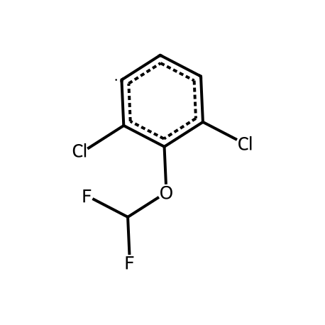 FC(F)Oc1c(Cl)[c]ccc1Cl